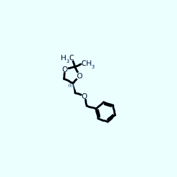 CC1(C)OC[C@H](COCc2ccccc2)O1